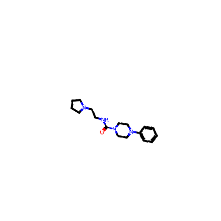 O=C(NCCN1CCCC1)N1CCN(c2ccccc2)CC1